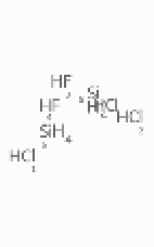 Cl.Cl.Cl.F.F.[SiH4].[SiH4]